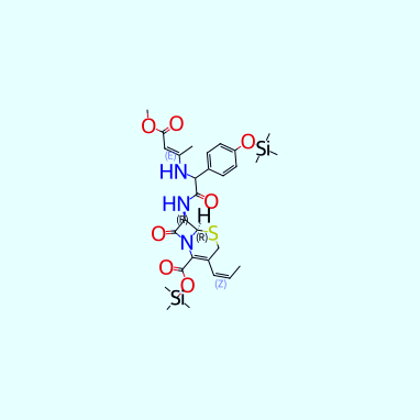 C/C=C\C1=C(C(=O)O[Si](C)(C)C)N2C(=O)[C@@H](NC(=O)C(N/C(C)=C/C(=O)OC)c3ccc(O[Si](C)(C)C)cc3)[C@H]2SC1